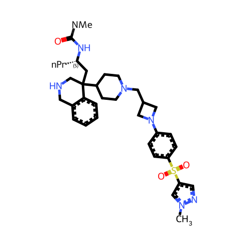 CCC[C@@H](CC1(C2CCN(CC3CN(c4ccc(S(=O)(=O)c5cnn(C)c5)cc4)C3)CC2)CNCc2ccccc21)NC(=O)NC